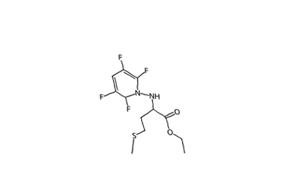 CCOC(=O)C(CCSC)NN1C(F)=C(F)C=C(F)C1F